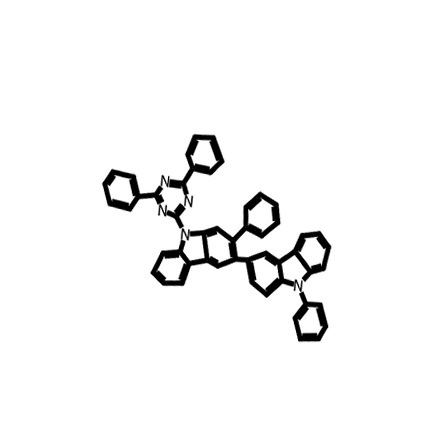 c1ccc(-c2nc(-c3ccccc3)nc(-n3c4ccccc4c4cc(-c5ccc6c(c5)c5ccccc5n6-c5ccccc5)c(-c5ccccc5)cc43)n2)cc1